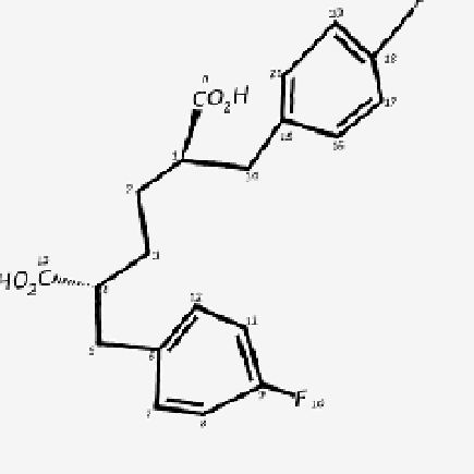 O=C(O)[C@H](CC[C@H](Cc1ccc(F)cc1)C(=O)O)Cc1ccc(F)cc1